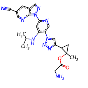 CC(C)Nc1cc(-n2ncc3cc(C#N)cnc32)ncc1-n1cc(C2CC2(C)OC(=O)CN)nn1